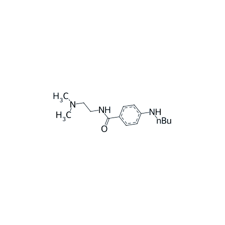 CCCCNc1ccc(C(=O)NCCN(C)C)cc1